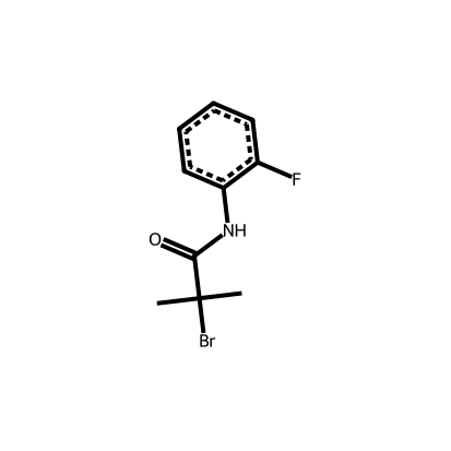 CC(C)(Br)C(=O)Nc1ccccc1F